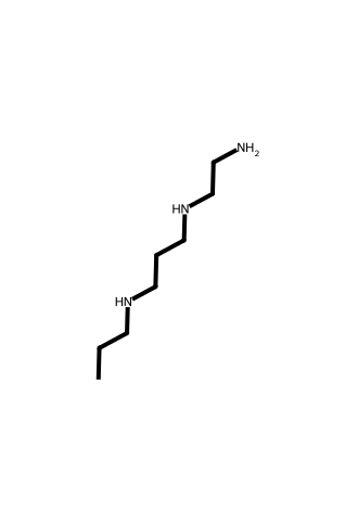 CCCNCCCNCCN